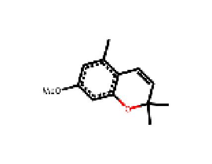 COc1cc(C)c2c(c1)OC(C)(C)C=C2